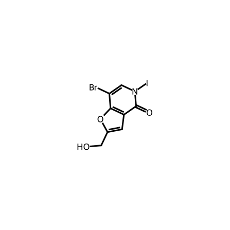 O=c1c2cc(CO)oc2c(Br)cn1I